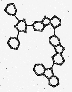 c1ccc(-c2nc(-c3ccccc3)nc(-c3ccc4c(c3)sc3cccc(-c5ccc6c(c5)sc5ccc(-n7c8ccccc8c8ccccc87)cc56)c34)n2)cc1